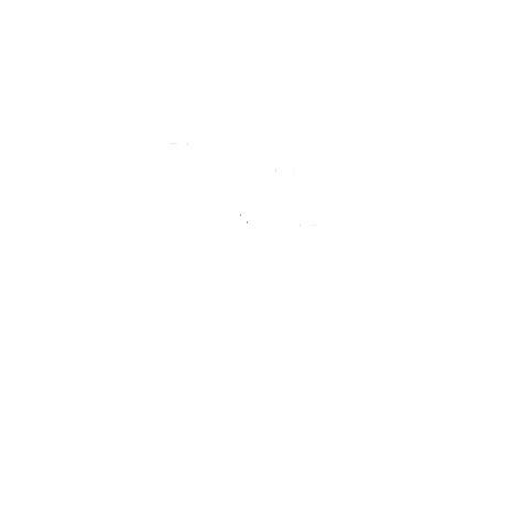 CCCN(CCCc1ccccc1)C(C)C